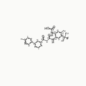 Cc1ccc(-c2cccc(C(=O)CC(=O)Nc3cc(C(F)(F)F)c(C)cc3NC(=O)O)c2)cn1